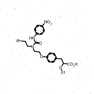 CCOC(Cc1ccc(OCCN(CCC(C)C)C(=O)Nc2ccc([N+](=O)[O-])cc2)cc1)C(=O)O